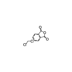 ClCCl.O=C1OC(=O)c2ccccc21